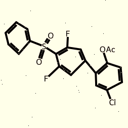 CC(=O)Oc1ccc(Cl)cc1-c1cc(F)c(S(=O)(=O)c2ccccc2)c(F)c1